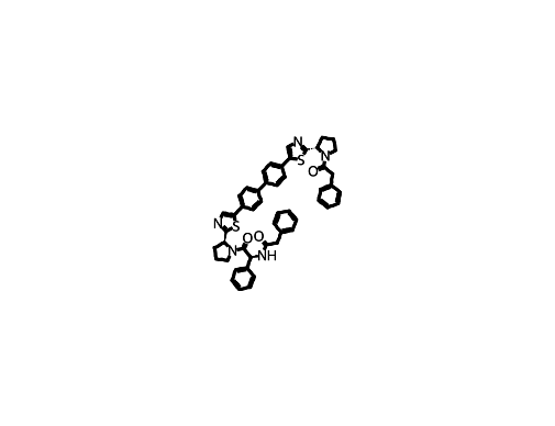 O=C(Cc1ccccc1)N[C@H](C(=O)N1CCC[C@H]1c1ncc(-c2ccc(-c3ccc(-c4cnc([C@@H]5CCCN5C(=O)Cc5ccccc5)s4)cc3)cc2)s1)c1ccccc1